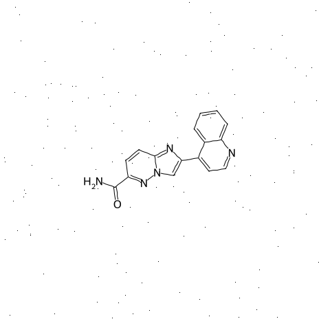 NC(=O)c1ccc2nc(-c3ccnc4ccccc34)cn2n1